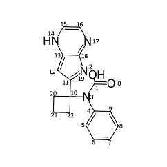 O=C(O)N(c1ccccc1)C1(c2cc3[nH]ccnc-3n2)CCC1